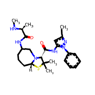 CN[C@@H](C)C(=O)NC1CCC[C@H]2SC(C)(C)[C@@H](C(=O)Nc3cc(C)nn3-c3ccccc3)N2C1